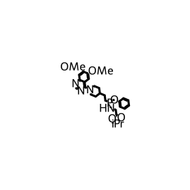 COc1cc2ncnc(N3CCC(CCP(NCC(=O)OC(C)C)Oc4ccccc4)CC3)c2cc1OC